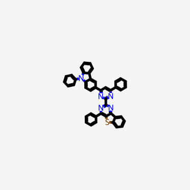 c1ccc(-c2cc(-c3ccc4c(c3)c3ccccc3n4-c3ccccc3)nc(-c3nc(-c4ccccc4)c4sc5ccccc5c4n3)n2)cc1